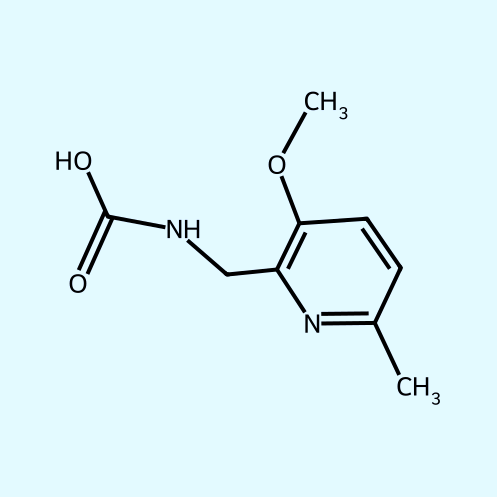 COc1ccc(C)nc1CNC(=O)O